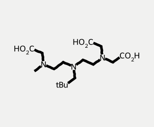 CN(CCN(CCN(CC(=O)O)CC(=O)O)CC(C)(C)C)CC(=O)O